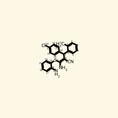 Cc1ccccc1C(/C(C#N)=C(/N)Sc1ccccc1N)c1ccc(Cl)cc1